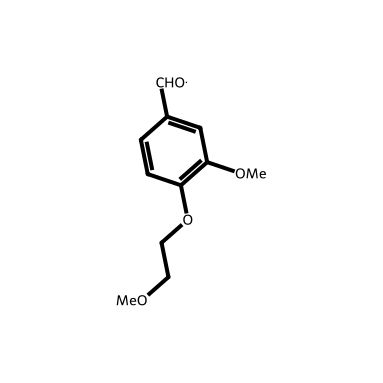 COCCOc1ccc([C]=O)cc1OC